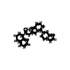 CN(Cc1cn2c(N3CCn4ccnc4C3)nccc2n1)[C@H]1CCCc2cccnc21